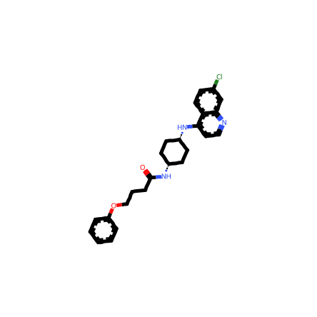 O=C(CCCOc1ccccc1)N[C@H]1CC[C@@H](Nc2ccnc3cc(Cl)ccc23)CC1